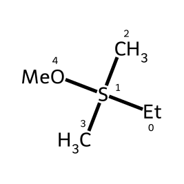 CCS(C)(C)OC